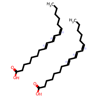 CCCCC\C=C/C=C/C=C/CCCCCCC(=O)O.CCCCC\C=C/C=C/C=C/CCCCCCC(=O)O